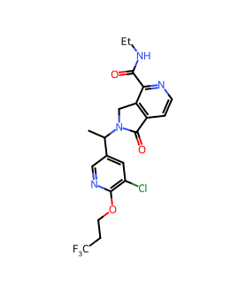 CCNC(=O)c1nccc2c1CN(C(C)c1cnc(OCCC(F)(F)F)c(Cl)c1)C2=O